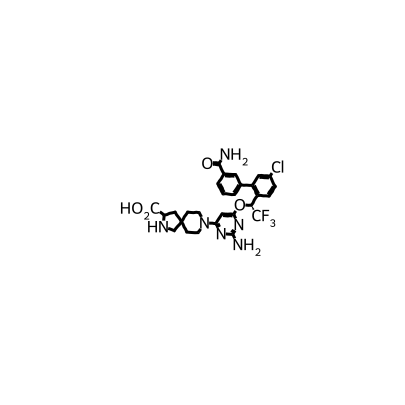 NC(=O)c1cccc(-c2cc(Cl)ccc2[C@@H](Oc2cc(N3CCC4(CC3)CNC(C(=O)O)C4)nc(N)n2)C(F)(F)F)c1